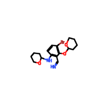 N=Cc1c(NC2CCCCO2)ccc(Br)c1OC1CCCCO1